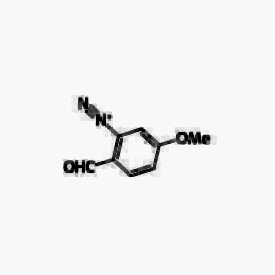 COc1ccc(C=O)c([N+]#N)c1